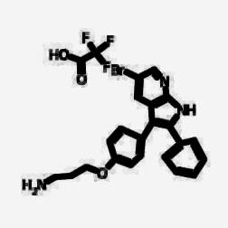 NCCCOc1ccc(-c2c(-c3ccccc3)[nH]c3ncc(Br)cc23)cc1.O=C(O)C(F)(F)F